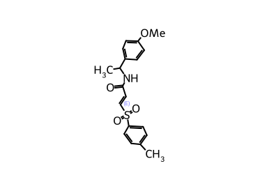 COc1ccc(C(C)NC(=O)/C=C/S(=O)(=O)c2ccc(C)cc2)cc1